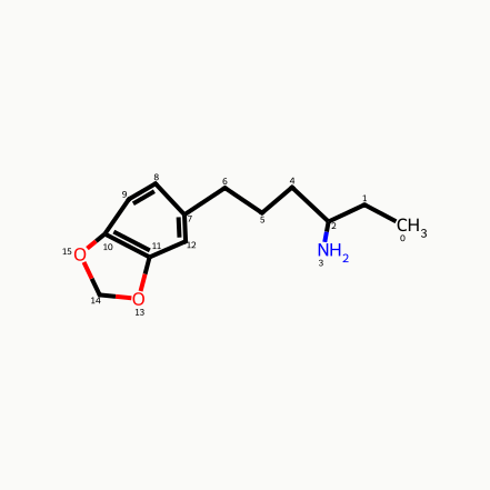 CCC(N)CCCc1ccc2c(c1)OCO2